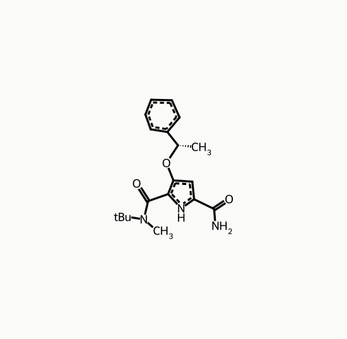 C[C@H](Oc1cc(C(N)=O)[nH]c1C(=O)N(C)C(C)(C)C)c1ccccc1